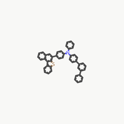 c1ccc(-c2cccc(-c3ccc(N(c4ccccc4)c4ccc(-c5cc6ccccc6c6c5sc5ccccc56)cc4)cc3)c2)cc1